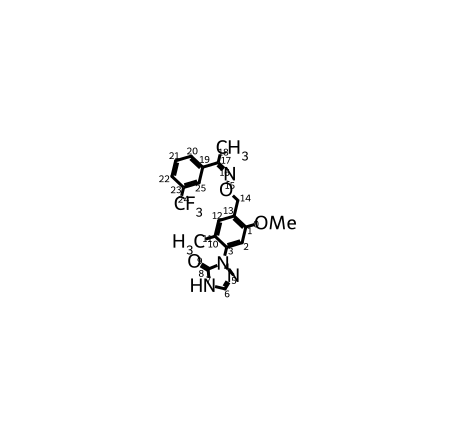 COc1cc(-n2nc[nH]c2=O)c(C)cc1CON=C(C)c1cccc(C(F)(F)F)c1